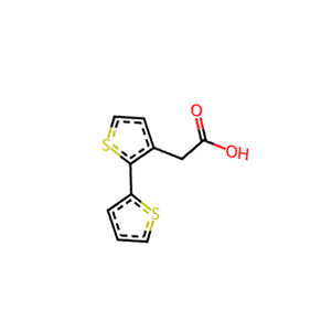 O=C(O)Cc1ccsc1-c1cccs1